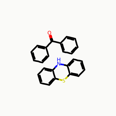 O=C(c1ccccc1)c1ccccc1.c1ccc2c(c1)Nc1ccccc1S2